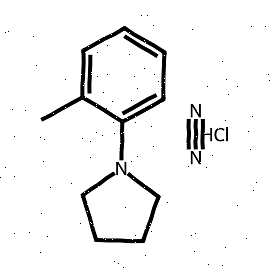 Cc1ccccc1N1CCCC1.Cl.N#N